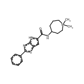 C[Si]1(C)CCCC(NC(=O)c2cc3sc(-c4ccccc4)nc3[nH]2)CC1